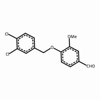 COc1cc(C=O)ccc1OCc1ccc(Cl)c(Cl)c1